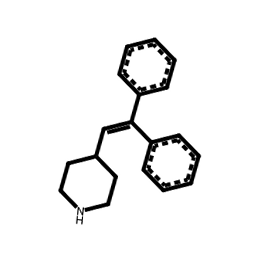 C(=C(c1ccccc1)c1ccccc1)C1CCNCC1